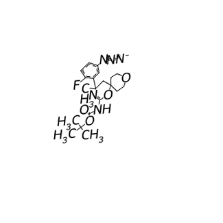 CC(C)(C)OC(=O)NC1=NC(C)(c2cc(N=[N+]=[N-])ccc2F)CC2(CCOCC2)O1